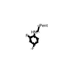 CCCC(C)CNc1ccc(F)cc1F